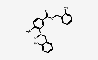 CC(=O)N(Cc1ccccc1C#N)c1cc(C(=O)OCc2ccccc2C#N)ccc1[N+](=O)[O-]